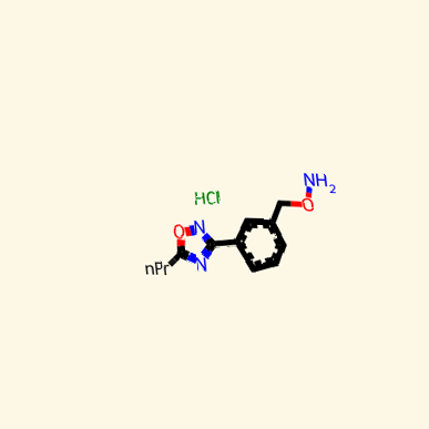 CCCc1nc(-c2cccc(CON)c2)no1.Cl